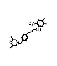 Cc1cc(NCCCc2ccc(CN3CC(C)OC(C)C3)cc2)c([N+](=O)[O-])cc1C